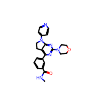 CNC(=O)c1cccc(-c2nc(N3CCOCC3)nc3c2CCN3c2ccncc2)c1